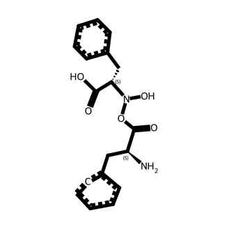 N[C@@H](Cc1ccccc1)C(=O)ON(O)[C@@H](Cc1ccccc1)C(=O)O